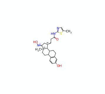 Cc1cnc(NC(=O)CC[C@@H]2C/C(=N\O)[C@@]3(C)CCC4c5ccc(O)cc5CCC4C23)s1